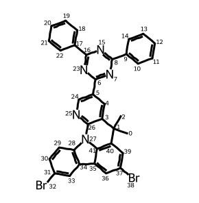 CC1(C)c2cc(-c3nc(-c4ccccc4)nc(-c4ccccc4)n3)cnc2-n2c3ccc(Br)cc3c3cc(Br)cc1c32